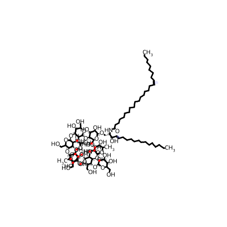 CCCCCCCC/C=C\CCCCCCCCCCCCCCCC(=O)N[C@@H](CO[C@@H]1OC(CO)[C@@H](O[C@@H]2OC(CO)[C@H](O)[C@H](O[C@@H]3OC(CO)[C@@H](O[C@@H]4OC(CO)[C@H](O)[C@H](O[C@@H]5OC(CO)[C@@H](O[C@@H]6OC(CO)[C@H](O)[C@H](O)C6O)[C@H](O[C@H]6OC(C)[C@@H](O)C(O)[C@@H]6O)C5NC(C)=O)C4O)[C@H](O[C@H]4OC(C)[C@@H](O)C(O)[C@@H]4O)C3NC(C)=O)C2O)[C@H](O)C1O)[C@H](O)/C=C/CCCCCCCCCCCCC